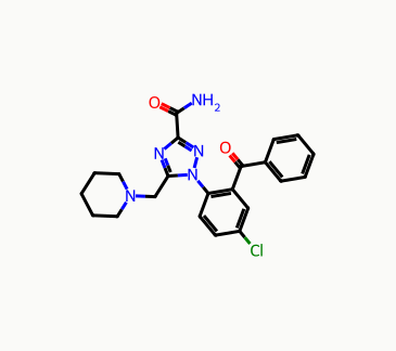 NC(=O)c1nc(CN2CCCCC2)n(-c2ccc(Cl)cc2C(=O)c2ccccc2)n1